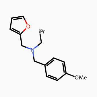 COc1ccc(CN(Cc2ccco2)CC(C)C)cc1